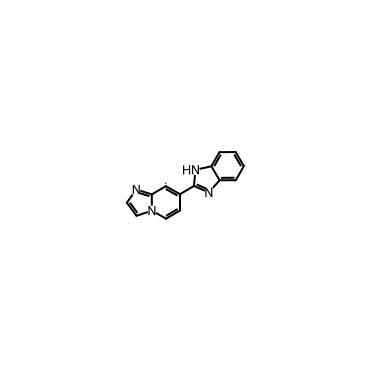 [c]1c(-c2nc3ccccc3[nH]2)ccn2ccnc12